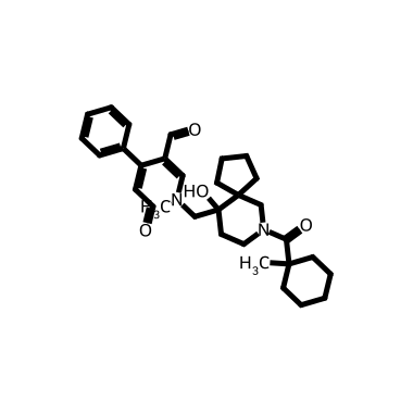 CN(/C=C(C=O)\C(=C/C=O)c1ccccc1)CC1(O)CCN(C(=O)C2(C)CCCCC2)CC12CCCC2